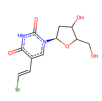 O=c1[nH]c(=O)n([C@H]2CC(O)C(CO)O2)cc1/C=C/Br